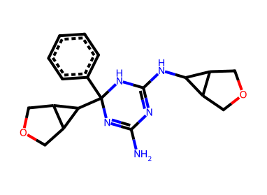 NC1=NC(c2ccccc2)(C2C3COCC32)NC(NC2C3COCC32)=N1